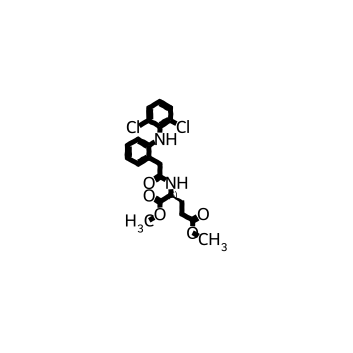 COC(=O)CC[C@H](NC(=O)Cc1ccccc1Nc1c(Cl)cccc1Cl)C(=O)OC